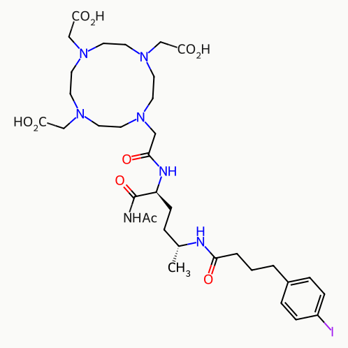 CC(=O)NC(=O)[C@H](CC[C@@H](C)NC(=O)CCCc1ccc(I)cc1)NC(=O)CN1CCN(CC(=O)O)CCN(CC(=O)O)CCN(CC(=O)O)CC1